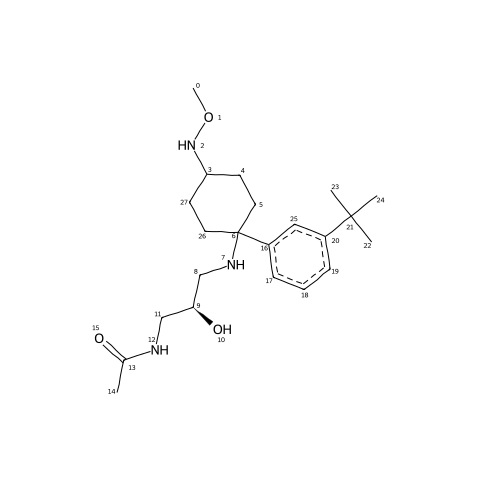 CONC1CCC(NC[C@@H](O)CNC(C)=O)(c2cccc(C(C)(C)C)c2)CC1